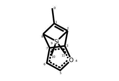 CC1=C2c3occc3C1[Si]2(C)C